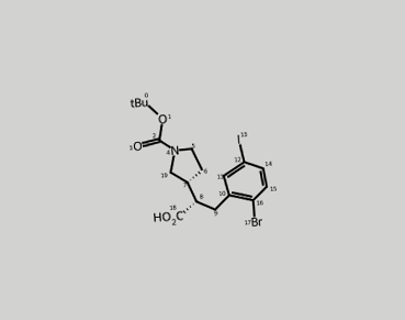 CC(C)(C)OC(=O)N1CC[C@H]([C@H](Cc2cc(I)ccc2Br)C(=O)O)C1